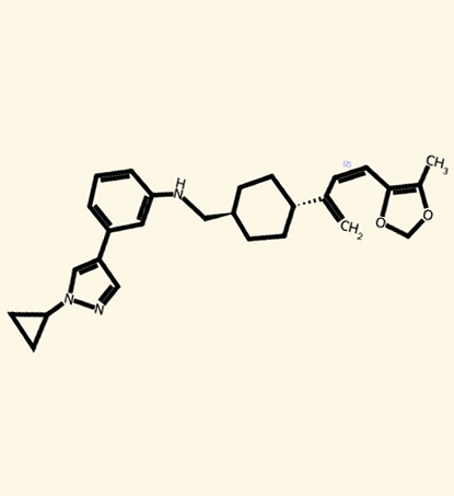 C=C(/C=C\C1=C(C)OCO1)[C@H]1CC[C@H](CNc2cccc(-c3cnn(C4CC4)c3)c2)CC1